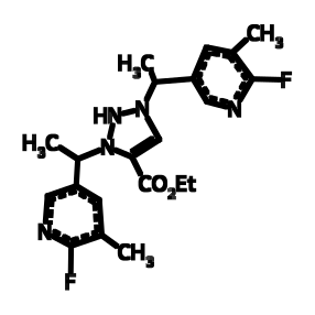 CCOC(=O)C1=CN(C(C)c2cnc(F)c(C)c2)NN1C(C)c1cnc(F)c(C)c1